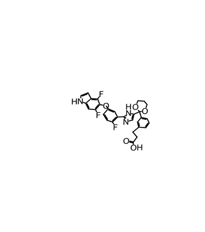 O=C(O)CCc1cccc(C2(c3cnc(-c4cc(Oc5c(F)cc6[nH]ccc6c5F)ccc4F)[nH]3)OCCCO2)c1